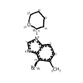 Cc1ccc2c(ncn2[C@H]2CCCCO2)c1Br